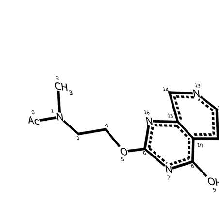 CC(=O)N(C)CCOc1nc(O)c2ccncc2n1